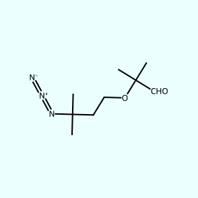 CC(C)(CCOC(C)(C)C=O)N=[N+]=[N-]